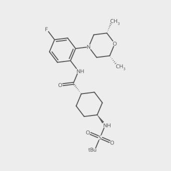 C[C@@H]1CN(c2cc(F)ccc2NC(=O)[C@H]2CC[C@H](NS(=O)(=O)C(C)(C)C)CC2)C[C@H](C)O1